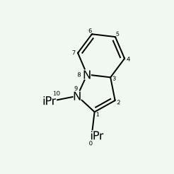 CC(C)C1=CC2C=CC=CN2N1C(C)C